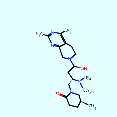 C[C@H]1CCC(=O)N(C[C@H](CC(O)N2CCc3c(nc(C(F)(F)F)nc3C(F)(F)F)C2)N(C(=O)O)C(C)(C)C)C1